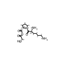 NCCCC[C@H](N)C(=O)N1CCC[C@H]1C(=O)OC(=O)CO